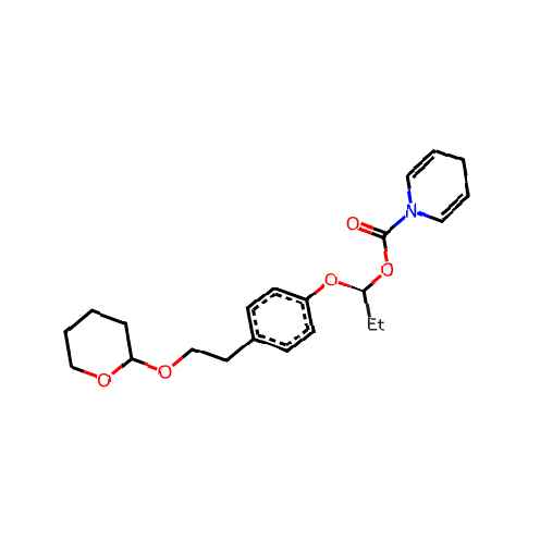 CCC(OC(=O)N1C=CCC=C1)Oc1ccc(CCOC2CCCCO2)cc1